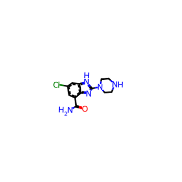 NC(=O)c1cc(Cl)cc2[nH]c(N3CCNCC3)nc12